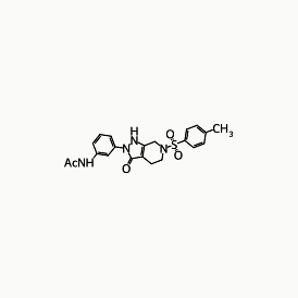 CC(=O)Nc1cccc(-n2[nH]c3c(c2=O)CCN(S(=O)(=O)c2ccc(C)cc2)C3)c1